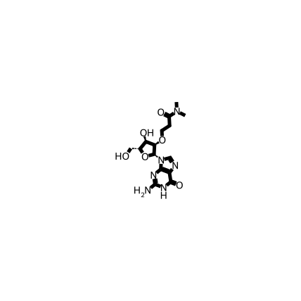 CN(C)C(=O)CCO[C@@H]1[C@H](O)[C@@H](CO)O[C@H]1n1cnc2c(=O)[nH]c(N)nc21